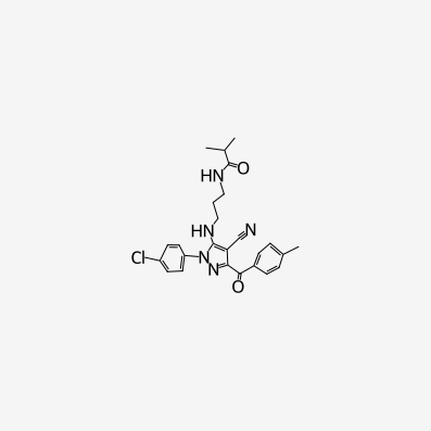 Cc1ccc(C(=O)c2nn(-c3ccc(Cl)cc3)c(NCCCNC(=O)C(C)C)c2C#N)cc1